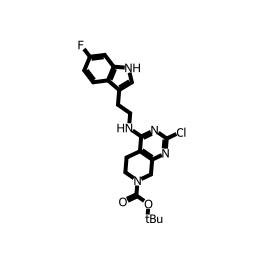 CC(C)(C)OC(=O)N1CCc2c(nc(Cl)nc2NCCc2c[nH]c3cc(F)ccc23)C1